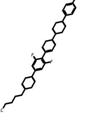 CCCCCC1CCC(c2cc(F)c(C3=CCC(C4CCC(c5ccc(F)cc5)CC4)CC3)c(F)c2)CC1